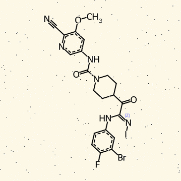 COc1cc(NC(=O)N2CCC(C(=O)/C(=N/I)Nc3ccc(F)c(Br)c3)CC2)cnc1C#N